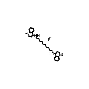 C[n+]1ccc(NCCCCCCCCCCNc2cc[n+](C)c3ccccc23)c2ccccc21.[I-].[I-]